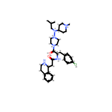 CC(C)CN(C1CCN(C)CC1)N1CCN(C(=O)[C@@H](Cc2ccc(Cl)cc2)NC(=O)CC2NCCc3ccccc32)CC1